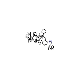 C[C@H](NC(=O)c1c(N)nn2cccnc12)c1nc2cccc(/C=C\c3cnn(C)c3)c2cc1-c1ccccc1